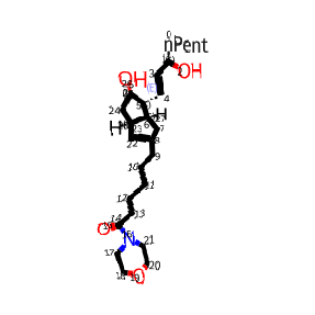 CCCCC[C@H](O)/C=C/[C@@H]1[C@H]2CC(CCCCCC(=O)N3CCOCC3)=C[C@H]2C[C@H]1O